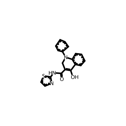 O=C(Nc1nccs1)C1=C(O)c2ccccc2N(c2ccccc2)C1